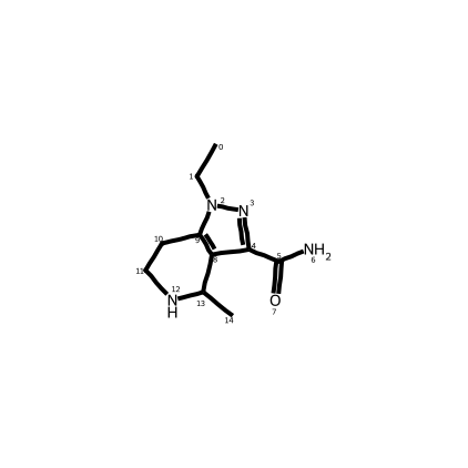 CCn1nc(C(N)=O)c2c1CCNC2C